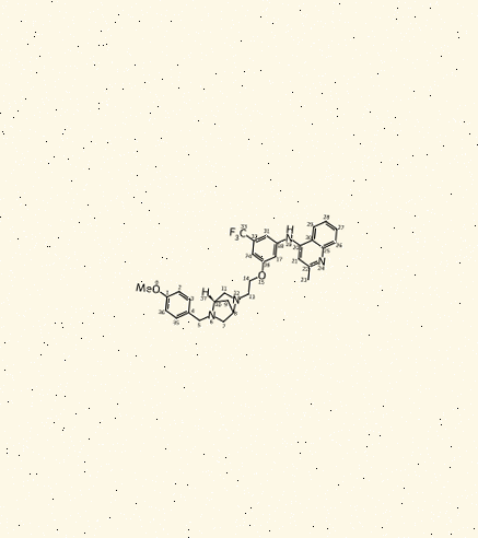 COc1ccc(CN2CC3C[C@H]2CN3CCOc2cc(Nc3cc(C)nc4ccccc34)cc(C(F)(F)F)c2)cc1